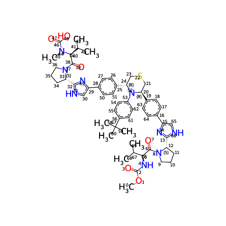 COC(=O)N[C@H](C(=O)N1CCC[C@H]1c1nc(-c2ccc([C@@H]3CSC[C@@H](c4ccc(-c5c[nH]c([C@@H]6CCCN6C(=O)[C@H](C(C)C)N(C)C(=O)O)n5)cc4)N3c3ccc(C(C)(C)C)cc3)cc2)c[nH]1)C(C)C